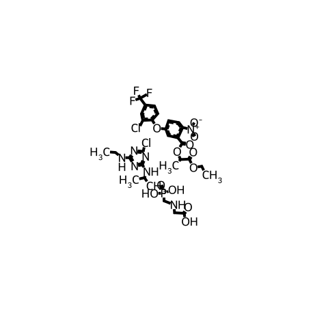 CCNc1nc(Cl)nc(NC(C)C)n1.CCOC(=O)C(C)OC(=O)c1cc(Oc2ccc(C(F)(F)F)cc2Cl)ccc1[N+](=O)[O-].O=C(O)CNCP(=O)(O)O